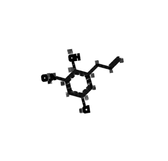 C=CCc1cc(Cl)cc([N+](=O)[O-])c1O